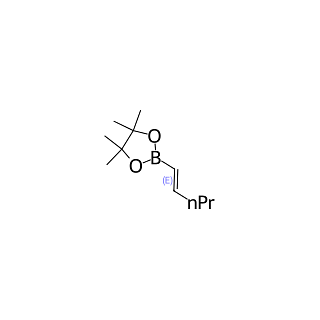 CCC/C=C/B1OC(C)(C)C(C)(C)O1